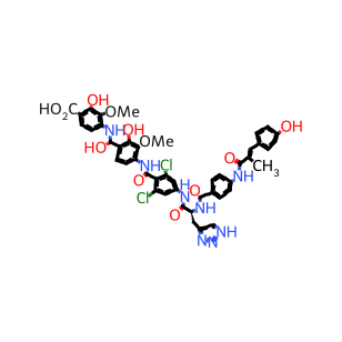 COc1c(NC(O)c2ccc(NC(=O)c3c(Cl)cc(NC(=O)[C@H](Cc4c[nH]nn4)NC(=O)c4ccc(NC(=O)/C(C)=C/c5ccc(O)cc5)cc4)cc3Cl)c(OC)c2O)ccc(C(=O)O)c1O